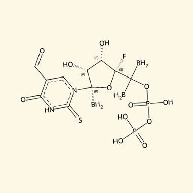 BC(B)(OP(=O)(O)OP(=O)(O)O)[C@@]1(F)O[C@@](B)(n2cc(C=O)c(=O)[nH]c2=S)[C@H](O)[C@@H]1O